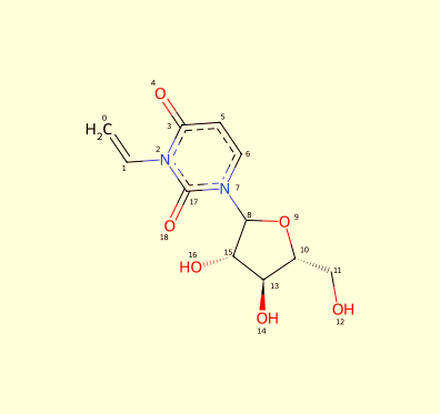 C=Cn1c(=O)ccn(C2O[C@H](CO)[C@@H](O)[C@@H]2O)c1=O